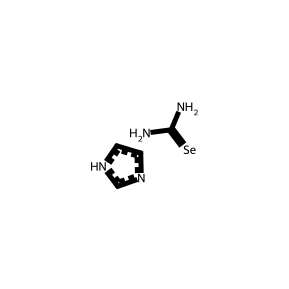 NC(N)=[Se].c1c[nH]cn1